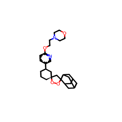 c1cc(OCCN2CCOCC2)ncc1C1CCC[C@@]2(C1)CC1(OO2)C2CC3CC(C2)CC1C3